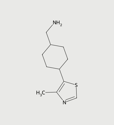 Cc1ncsc1C1CCC(CN)CC1